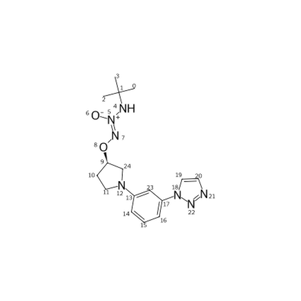 CC(C)(C)N/[N+]([O-])=N/O[C@@H]1CCN(c2cccc(-n3ccnn3)c2)C1